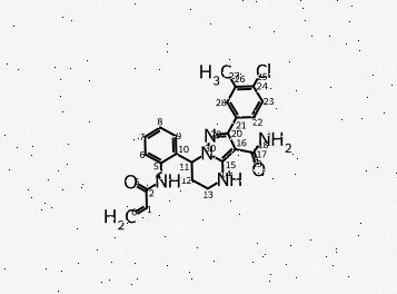 C=CC(=O)Nc1ccccc1C1CCNc2c(C(N)=O)c(-c3ccc(Cl)c(C)c3)nn21